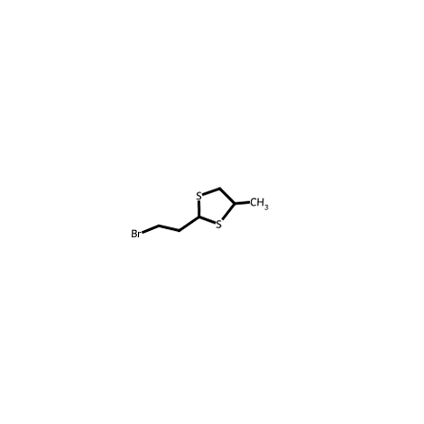 CC1CSC(CCBr)S1